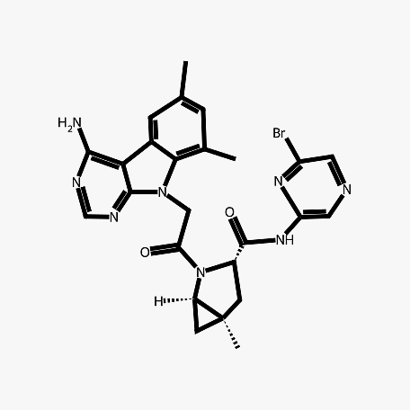 Cc1cc(C)c2c(c1)c1c(N)ncnc1n2CC(=O)N1[C@H](C(=O)Nc2cncc(Br)n2)C[C@@]2(C)C[C@@H]12